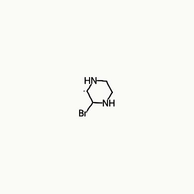 BrC1[CH]NCCN1